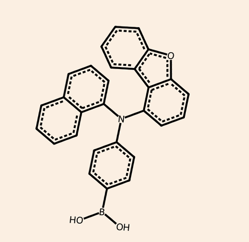 OB(O)c1ccc(N(c2cccc3ccccc23)c2cccc3oc4ccccc4c23)cc1